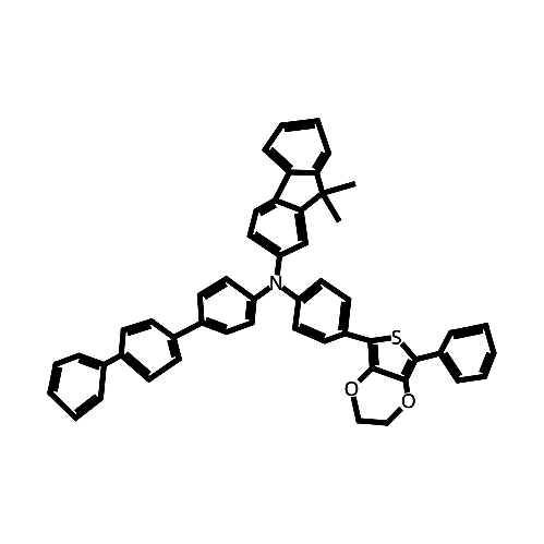 CC1(C)c2ccccc2-c2ccc(N(c3ccc(-c4ccc(-c5ccccc5)cc4)cc3)c3ccc(-c4sc(-c5ccccc5)c5c4OCCO5)cc3)cc21